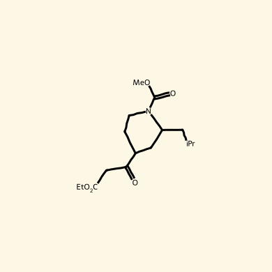 CCOC(=O)CC(=O)C1CCN(C(=O)OC)C(CC(C)C)C1